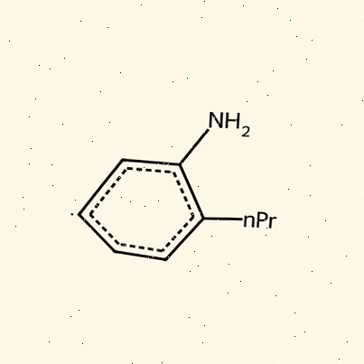 CCCc1cc[c]cc1N